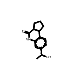 CC(O)c1ccc2c(c1)NC(=O)C1CCCC21